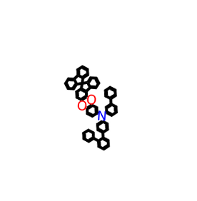 C1=CCCC(c2ccccc2-c2ccc(N(c3cccc(-c4ccccc4)c3)c3ccc4c(c3)Oc3c(ccc5c3-c3ccccc3C53c5ccccc5-c5ccccc53)O4)cc2)=C1